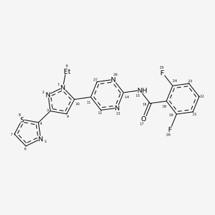 CCn1nc(-c2nccs2)cc1-c1cnc(NC(=O)c2c(F)cccc2F)nc1